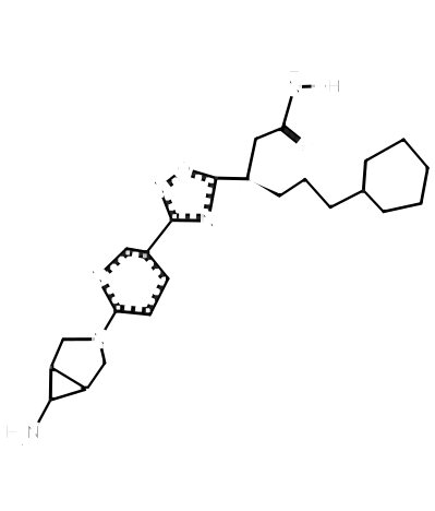 NC1C2CN(c3ccc(-c4noc([C@H](CCCC5CCCCC5)CC(=O)NO)n4)cn3)CC12